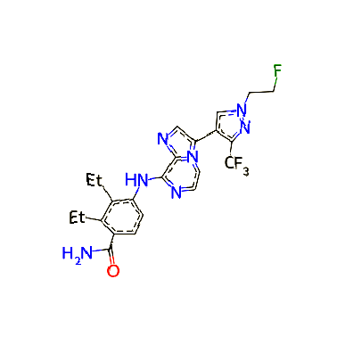 CCc1c(Nc2nccn3c(-c4cn(CCF)nc4C(F)(F)F)cnc23)ccc(C(N)=O)c1CC